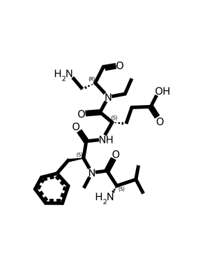 CCN(C(=O)[C@H](CCC(=O)O)NC(=O)[C@H](Cc1ccccc1)N(C)C(=O)[C@@H](N)C(C)C)[C@@H](C=O)CN